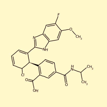 COc1cc2[nH]c(C3=CC=CC(Cl)[C@@H]3c3ccc(C(=O)NC(C)C)cc3C(=O)O)nc2cc1F